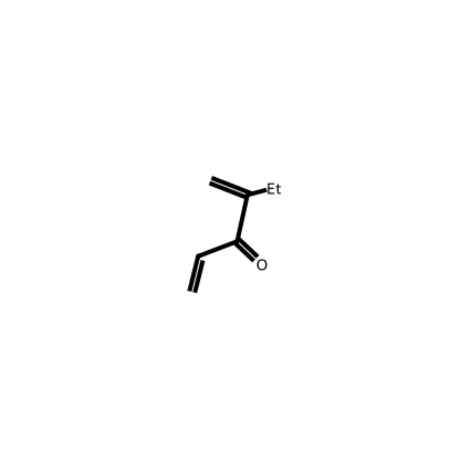 C=CC(=O)C(=C)CC